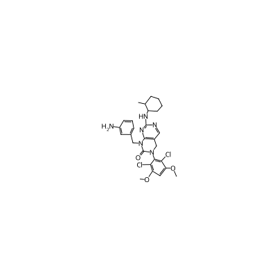 COc1cc(OC)c(Cl)c(N2Cc3cnc(NC4CCCCC4C)nc3N(Cc3cccc(N)c3)C2=O)c1Cl